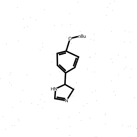 CCCCOc1ccc(C2CN=CN2)cc1